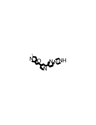 C[C@@H]1Cc2oc(-c3ccnc(-c4ccc(N5CCNCC5)nc4)c3)cc2C=N1